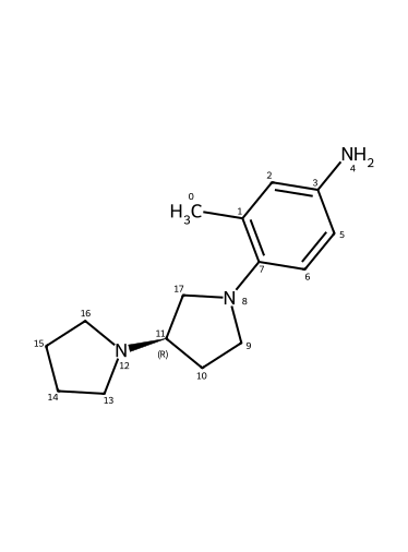 Cc1cc(N)ccc1N1CC[C@@H](N2CCCC2)C1